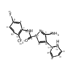 Nc1nn(C(=O)Nc2cc(F)ccc2C(F)(F)F)cc1N1C=CC=CN1